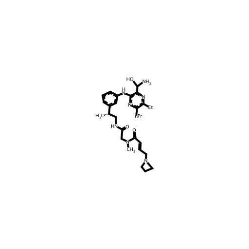 CCCc1nc(Nc2cccc([C@@H](C)CNC(=O)CN(C)C(=O)/C=C/CN3CCC3)c2)c(C(N)O)nc1CC